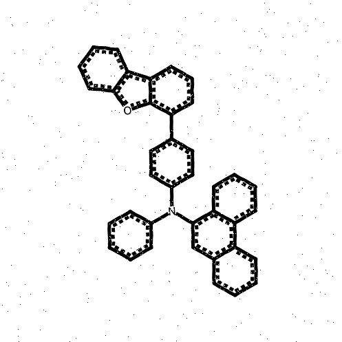 c1ccc(N(c2ccc(-c3cccc4c3oc3ccccc34)cc2)c2cc3ccccc3c3ccccc23)cc1